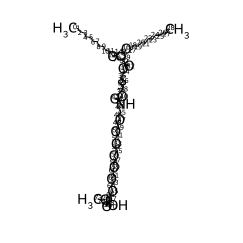 CCCCCCCCCCCCOc1cc(OCCCCCCCCCCCC)cc(C(=O)OCCSSCCOC(=O)NCCCOCCOCCOCCOCCOCCOCCOCCP(=O)(O)OCC)c1